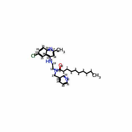 CCCCCCCCCC(=O)N(CCNc1cc(C)nc2ccc(Cl)cc12)Cc1cccnc1